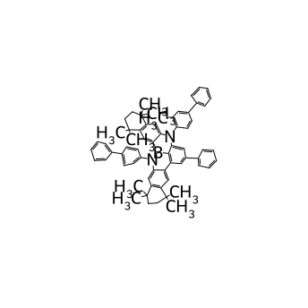 Cc1cc(-c2ccccc2)ccc1N1c2cc3c(cc2B2c4c(cc(-c5ccccc5)cc41)-c1cc4c(cc1N2c1ccc(-c2ccccc2)cc1)C(C)(C)CCC4(C)C)C(C)(C)CCC3(C)C